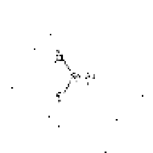 Cl[Se]Cl.[Au]